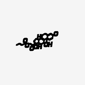 CCCC(=O)OCC(=O)[C@@]1(O)CC[C@H]2C3=C([C@@H](O)C[C@@]21C)[C@@]1(C)C=CC(=O)C=C1CC3